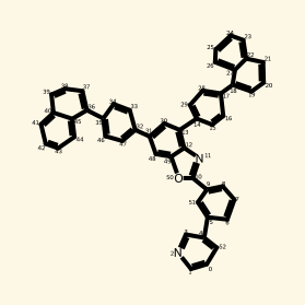 c1cncc(-c2cccc(-c3nc4c(-c5ccc(-c6cccc7ccccc67)cc5)cc(-c5ccc(-c6cccc7ccccc67)cc5)cc4o3)c2)c1